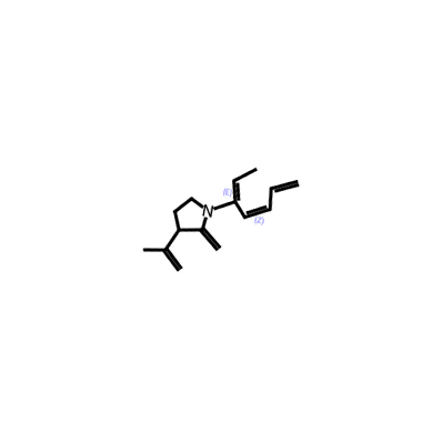 C=C/C=C\C(=C/C)N1CCC(C(=C)C)C1=C